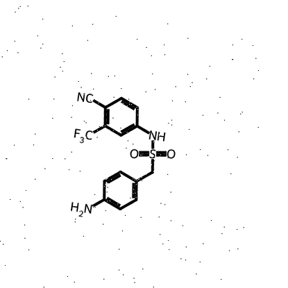 N#Cc1ccc(NS(=O)(=O)Cc2ccc(N)cc2)cc1C(F)(F)F